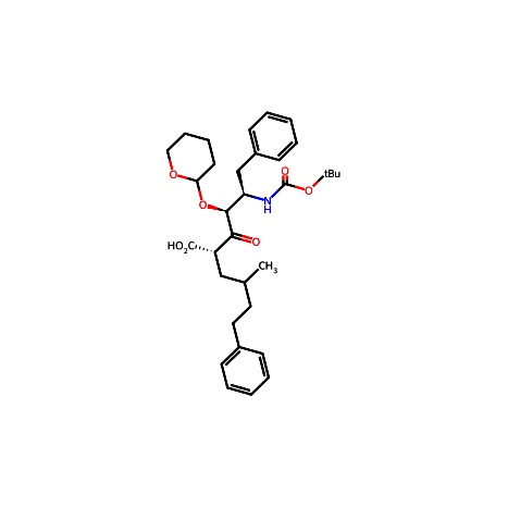 CC(CCc1ccccc1)C[C@H](C(=O)O)C(=O)[C@@H](OC1CCCCO1)[C@@H](Cc1ccccc1)NC(=O)OC(C)(C)C